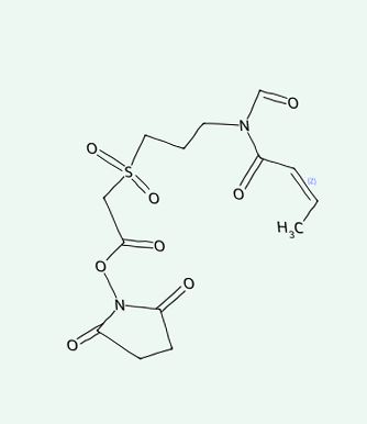 C/C=C\C(=O)N(C=O)CCCS(=O)(=O)CC(=O)ON1C(=O)CCC1=O